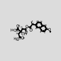 COc1ccc2cc([C@H](C)C(=O)OC(=O)CC(O)(CC(=O)O)C(=O)O)ccc2c1